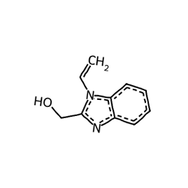 C=Cn1c(CO)nc2ccccc21